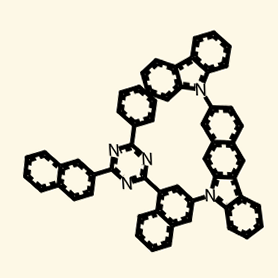 c1ccc(-c2nc(-c3ccc4ccccc4c3)nc(-c3cc(-n4c5ccccc5c5cc6ccc(-n7c8ccccc8c8ccccc87)cc6cc54)cc4ccccc34)n2)cc1